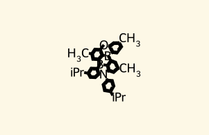 Cc1ccc2c(c1)Oc1cc(C)cc3c1B2c1cc(C)cc2c1B3c1cc(C(C)C)ccc1N2c1ccc(C(C)C)cc1